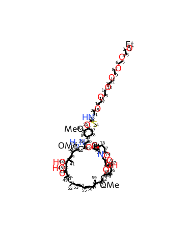 CCOCCOCCOCCOCCOCCOCCOCCNC(=S)OC1CC[C@@H](C[C@@H](N)[C@@H]2C[C@@H](OC)[C@H](C)/C=C(\C)C(O)[C@@H](O)C(=O)C(C)C[C@H](C)/C=C/C=C/C=C(\C)[C@@H](OC)C[C@@H]3CC[C@@H](C)[C@@](O)(O3)C(=O)C(=O)N3CCCC[C@H]3C(=O)O2)C[C@H]1OC